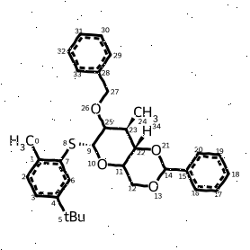 Cc1ccc(C(C)(C)C)cc1S[C@H]1OC2COC(c3ccccc3)O[C@H]2[C@H](C)C1OCc1ccccc1